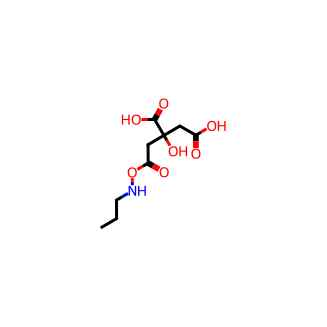 CCCNOC(=O)CC(O)(CC(=O)O)C(=O)O